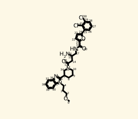 COCCCn1c(C2CCCN(C(=O)CC(N)CNC(=O)c3ccc(-c4cccc(Cl)c4Cl)o3)C2)nc2ccccc21